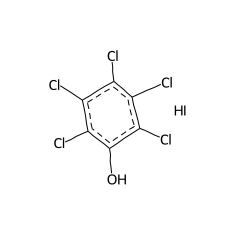 I.Oc1c(Cl)c(Cl)c(Cl)c(Cl)c1Cl